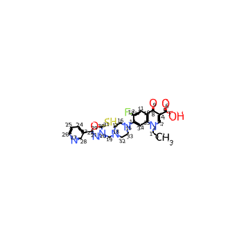 CCn1cc(C(=O)O)c(=O)c2cc(F)c(N3CCN(CN4N=C(c5cccnc5)OC4S)CC3)cc21